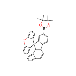 CC1(C)OB(c2ccc3c(c2)C2(c4ccccc4Oc4ccccc42)c2c-3ccc3ccccc23)OC1(C)C